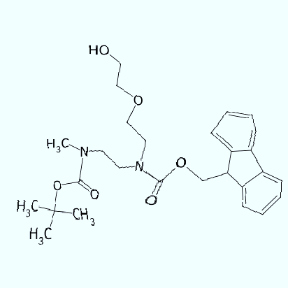 CN(CCN(CCOCCO)C(=O)OCC1c2ccccc2-c2ccccc21)C(=O)OC(C)(C)C